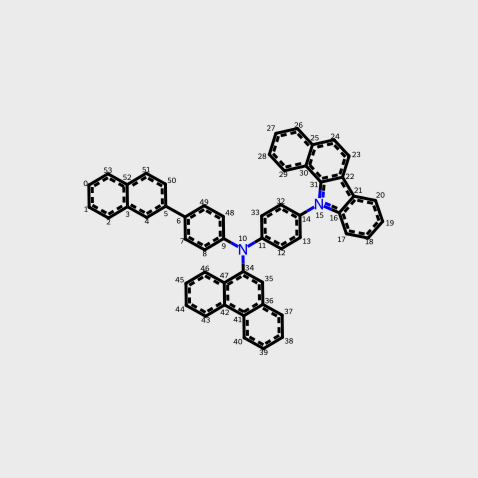 c1ccc2cc(-c3ccc(N(c4ccc(-n5c6ccccc6c6ccc7ccccc7c65)cc4)c4cc5ccccc5c5ccccc45)cc3)ccc2c1